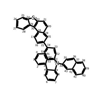 c1ccc(-c2ccccc2N(c2ccc(-c3ccc4c(ccc5sc6ccccc6c54)c3)cc2)c2ccc3ccccc3c2)cc1